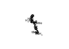 COC(=O)c1nc(N2CCc3c2nnc(Nc2nc4ccccc4s2)c3C)sc1CCCOc1ccc(C#CCN(C)C(=O)OC(C)(C)C)cc1F